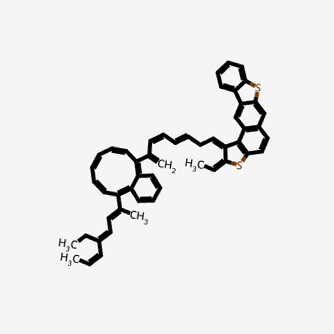 C=C(/C=C\C=C\C/C=c1\c(=C/C)sc2ccc3cc4sc5ccccc5c4cc3c12)c1ccccccc(/C(C)=C/C=C(/C=C\C)CC)c2ccccc12